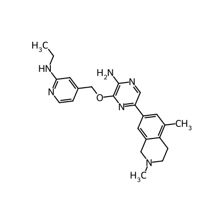 CCNc1cc(COc2nc(-c3cc(C)c4c(c3)CN(C)CC4)cnc2N)ccn1